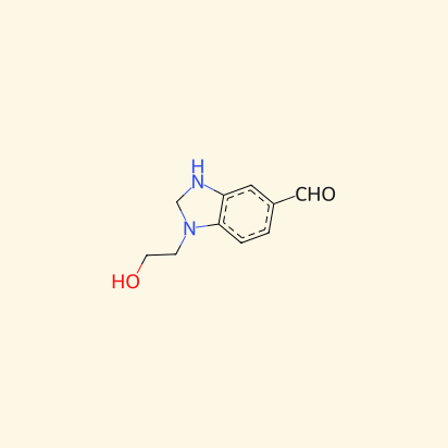 O=Cc1ccc2c(c1)NCN2CCO